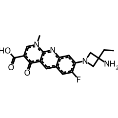 CCC1(N)CN(c2cc3nc4c(cc3cc2F)c(=O)c(C(=O)O)cn4C)C1